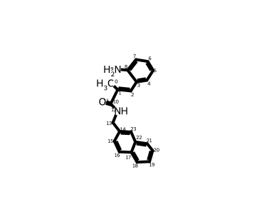 CC(=Cc1ccccc1N)C(=O)NCc1ccc2ccccc2c1